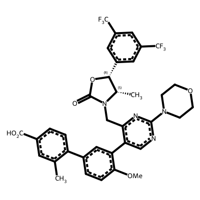 COc1ccc(-c2ccc(C(=O)O)cc2C)cc1-c1cnc(N2CCOCC2)nc1CN1C(=O)O[C@H](c2cc(C(F)(F)F)cc(C(F)(F)F)c2)[C@@H]1C